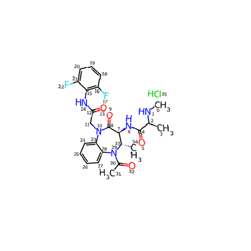 CNC(C)C(=O)N[C@@H]1C(=O)N(CC(=O)Nc2c(F)cccc2F)c2ccccc2N(C(C)=O)[C@H]1C.Cl